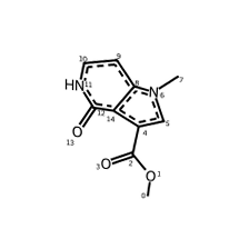 COC(=O)c1cn(C)c2cc[nH]c(=O)c12